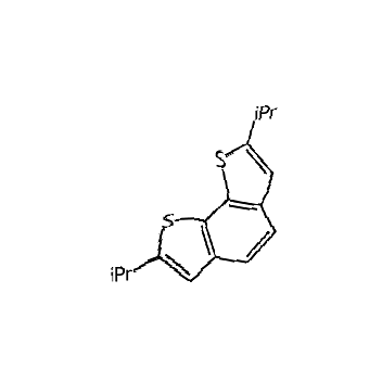 CC(C)c1cc2ccc3cc(C(C)C)sc3c2s1